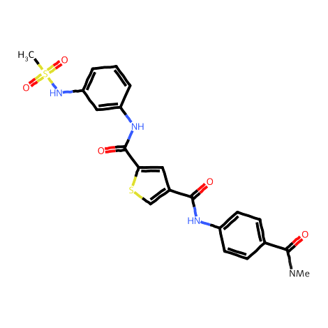 CNC(=O)c1ccc(NC(=O)c2csc(C(=O)Nc3cccc(NS(C)(=O)=O)c3)c2)cc1